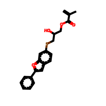 C=C(C)C(=O)OCC(O)CSc1ccc2cc(-c3ccccc3)oc2c1